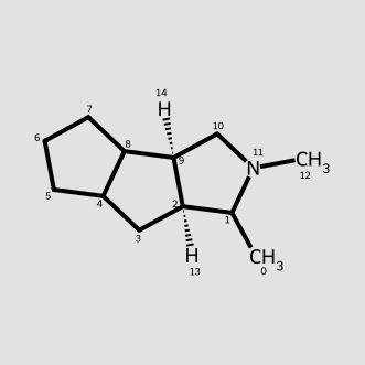 CC1[C@H]2CC3CCCC3[C@H]2CN1C